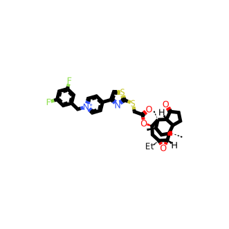 CC[C@]12C[C@@H](OC(=O)CSc3nc(-c4cc[n+](Cc5cc(F)cc(F)c5)cc4)cs3)[C@]3(C)[C@H](C)CC[C@]4(CCC(=O)[C@H]43)[C@@H](C)[C@@H]1O2